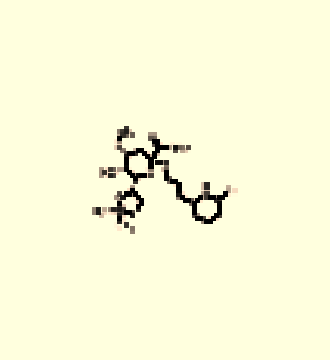 CCCCO[C@@H]1C[C@](OCCCC2CCCC(CC)N2)(C(=O)OC)OC([C@H]2COC(C)(C)O2)[C@@H]1O